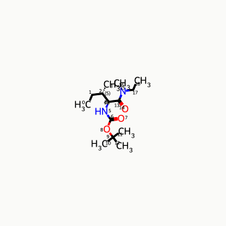 CC[C@H](C)[C@H](NC(=O)OC(C)(C)C)C(=O)N(C)CC